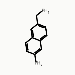 PCc1ccc2cc(P)ccc2c1